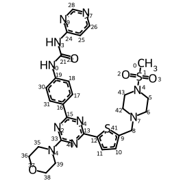 CS(=O)(=O)N1CCN(Cc2ccc(-c3nc(-c4ccc(NC(=O)Nc5ccncn5)cc4)nc(N4CCOCC4)n3)s2)CC1